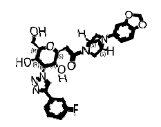 O=C(C[C@@H]1O[C@H](CO)[C@H](O)[C@H](n2cc(-c3cccc(F)c3)nn2)[C@H]1O)N1C[C@@H]2C[C@H]1CN2c1ccc2c(c1)OCO2